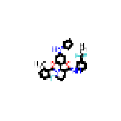 Cc1cccc(F)c1C(=O)N1CCCC(C(=O)Nc2cccc(C(C)(F)F)c2)C1c1ccc(NC2CCCC2)cc1